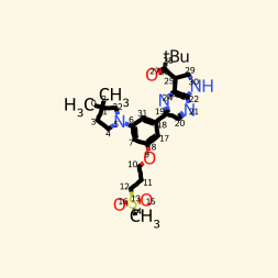 CC1(C)CCN(c2cc(OCCCS(C)(=O)=O)cc(-c3cnc4c(n3)C(C(=O)C(C)(C)C)CN4)c2)C1